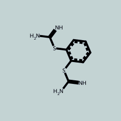 N=C(N)Sc1ccccc1SC(=N)N